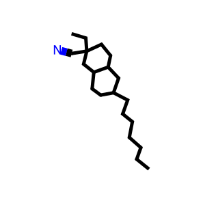 CCCCCCCC1CCC2CC(C#N)(CC)CCC2C1